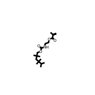 C=C(C)C(=O)OCCNC(=O)OCC(C)(C)CC(C)(C)C(C)C